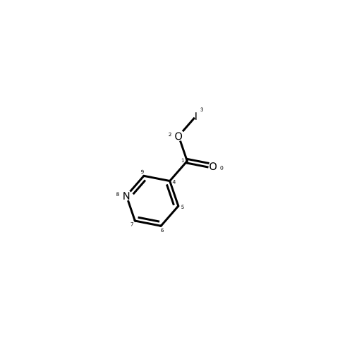 O=C(OI)c1cccnc1